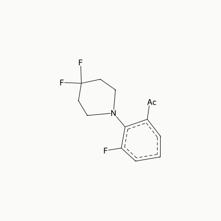 CC(=O)c1cccc(F)c1N1CCC(F)(F)CC1